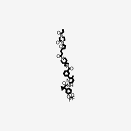 C=CC(=O)N1CCN(c2ccc(CCC(=O)N3CCC4(CC3)CN(C(=O)c3cccc(-c5nc(NC(=O)C6(c7ccc8c(c7)OC(F)(F)O8)CC6)ccc5C)c3)C4)o2)C(=O)C1